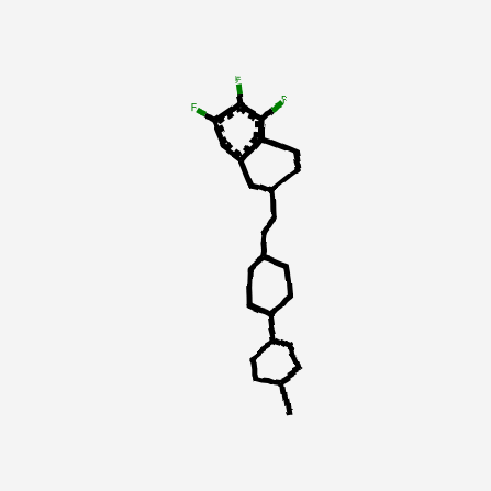 CC1CCC(C2CCC(CCC3CCc4c(cc(F)c(F)c4F)C3)CC2)CC1